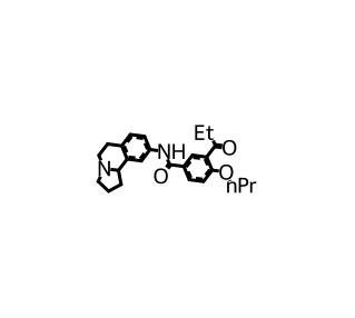 CCCOc1ccc(C(=O)Nc2ccc3c(c2)C2CCCN2CC3)cc1C(=O)CC